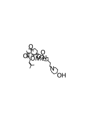 CO[C@H]1C([C@@]2(C)O[C@@H]2CC=C(C)C)[C@]2(CC[C@H]1OC(=O)N1CC(CCN3CCC(O)CC3)C1)CO2